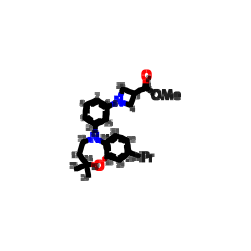 COC(=O)C1CN(c2cccc(N3CCC(C)(C)Oc4cc(C(C)C)ccc43)c2)C1